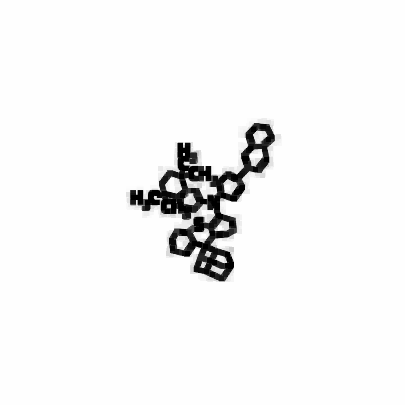 CC1(C)CCC(C)(C)c2cc(N(c3ccc(-c4ccc5ccccc5c4)cc3)c3cccc4c3Sc3ccccc3C43C4CC5CC6CC3C64C5)ccc21